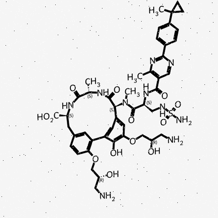 Cc1nc(-c2ccc(C3(C)CC3)cc2)ncc1C(=O)N[C@@H](CNS(N)(=O)=O)C(=O)N(C)[C@@H]1C(=O)N[C@@H](C)C(=O)N[C@H](C(=O)O)Cc2ccc(OC[C@H](O)CN)c(c2)-c2cc1cc(OC[C@H](O)CN)c2O